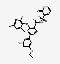 CCOc1cc(F)cc(-c2ccc(C(=O)NS(=O)(=O)c3ccc[nH]c3=O)c(Oc3c(C)cc(C)cc3C)n2)c1